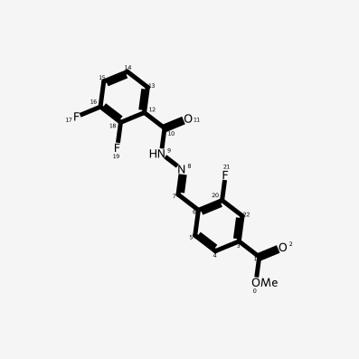 COC(=O)c1ccc(/C=N/NC(=O)c2cccc(F)c2F)c(F)c1